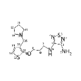 Nc1nsnc1NCCCOc1sccc1CN1CCCC1